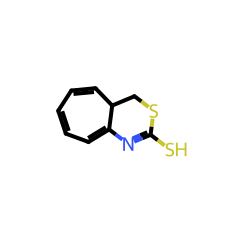 SC1=NC2=CC=CC=CC2CS1